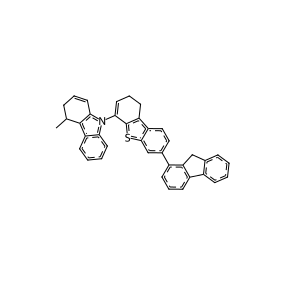 CC1CC=Cc2c1c1ccccc1n2C1=CCCc2c1sc1cc(-c3cccc4c3Cc3ccccc3-4)ccc21